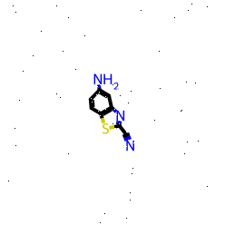 N#Cc1nc2cc(N)ccc2s1